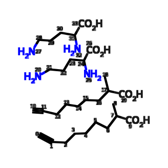 C#CCCCCCC(C)C(=O)O.C#CCCCCCC(C)C(=O)O.NCCCC(N)C(=O)O.NCCCC(N)C(=O)O